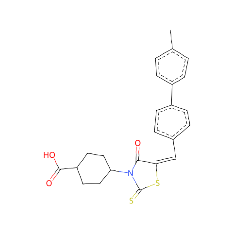 Cc1ccc(-c2ccc(C=C3SC(=S)N(C4CCC(C(=O)O)CC4)C3=O)cc2)cc1